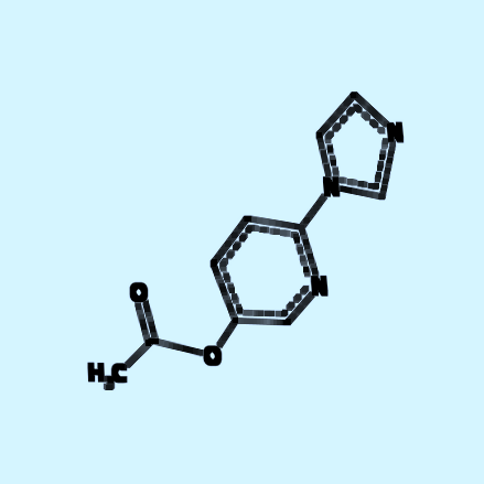 CC(=O)Oc1ccc(-n2ccnc2)nc1